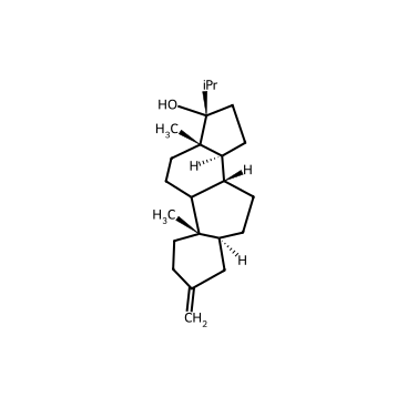 C=C1CC[C@]2(C)C3CC[C@@]4(C)[C@@H](CC[C@]4(O)C(C)C)[C@@H]3CC[C@H]2C1